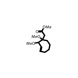 COC(=O)CC1(OC)CCCC/C=C/C1OC